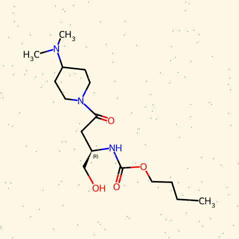 CCCCOC(=O)N[C@@H](CO)CC(=O)N1CCC(N(C)C)CC1